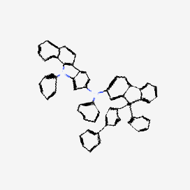 c1ccc(-c2ccc(C3(c4ccccc4)c4ccccc4-c4ccc(N(c5ccccc5)c5ccc6c7ccc8ccccc8c7n(-c7ccccc7)c6c5)cc43)cc2)cc1